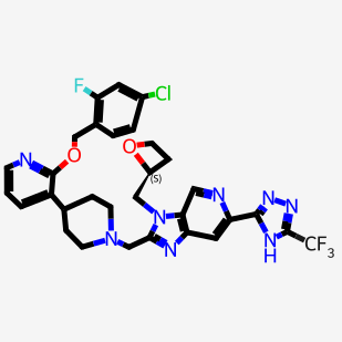 Fc1cc(Cl)ccc1COc1ncccc1C1CCN(Cc2nc3cc(-c4nnc(C(F)(F)F)[nH]4)ncc3n2C[C@@H]2CCO2)CC1